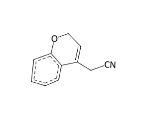 N#CCC1=CCOc2ccccc21